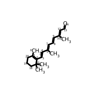 CC1=C(/C=C/C(C)=C/C=C/C(C)=C/C=O)C(C)(C)CC[CH]1